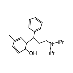 CC1=CC(C(CCN(C(C)C)C(C)C)c2ccccc2)C(O)C=C1